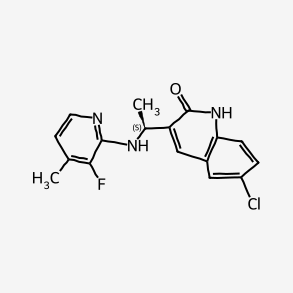 Cc1ccnc(N[C@@H](C)c2cc3cc(Cl)ccc3[nH]c2=O)c1F